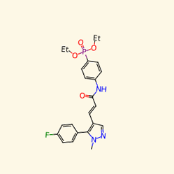 CCOP(=O)(OCC)c1ccc(NC(=O)C=Cc2cnn(C)c2-c2ccc(F)cc2)cc1